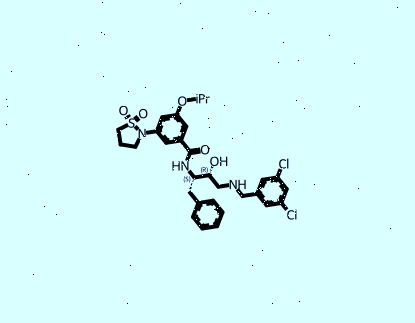 CC(C)Oc1cc(C(=O)N[C@@H](Cc2ccccc2)[C@H](O)CNCc2cc(Cl)cc(Cl)c2)cc(N2CCCS2(=O)=O)c1